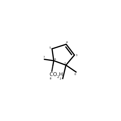 CC1(C)C=CCC1(C)C(=O)O